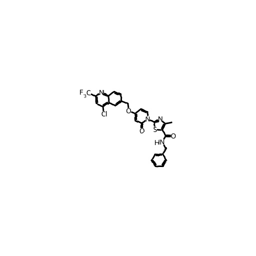 Cc1nc(-n2ccc(OCc3ccc4nc(C(F)(F)F)cc(Cl)c4c3)cc2=O)sc1C(=O)NCc1ccccc1